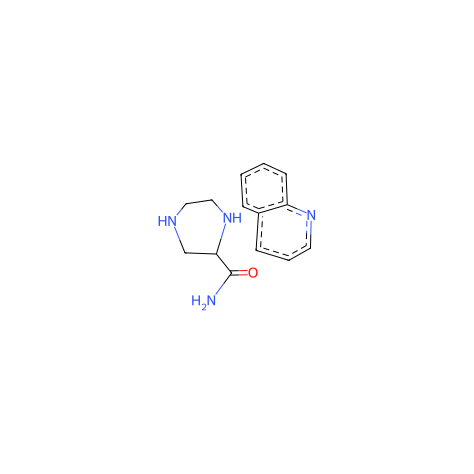 NC(=O)C1CNCCN1.c1ccc2ncccc2c1